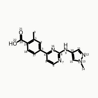 Cc1cc(-c2ccnc(Nc3cnn(C)c3)n2)ccc1C(=O)O